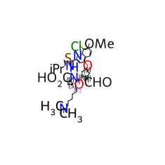 COc1ccc2c(O[C@H]3C[C@@H](C=O)[C@H](C(=O)N[C@]4(C(=O)O)C[C@H]4/C=C\CCCCN(C)C)C3)cc(-c3nc(C(C)C)cs3)nc2c1Cl